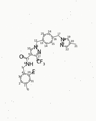 Cc1ccc(CNC(=O)c2cn(Cc3ccc(Cn4cc(C)cn4)cc3)nc2C(F)(F)F)c(F)c1